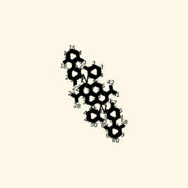 Cc1ccccc1N(c1cc(-c2c(C)cccc2C)ccc1C)c1cc(C(C)C)c2ccc3c4c(ccc1c24)=C(C(C)C)CC3N(c1ccccc1C)c1cc(-c2c(C)cccc2C)ccc1C